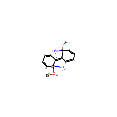 CCOC1(N)C=CC=CC1=C1C=CC=CC1(N)OCC